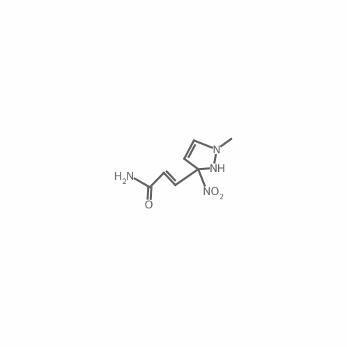 CN1C=CC(C=CC(N)=O)([N+](=O)[O-])N1